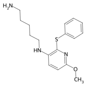 COc1ccc(NCCCCCN)c(Sc2ccccc2)n1